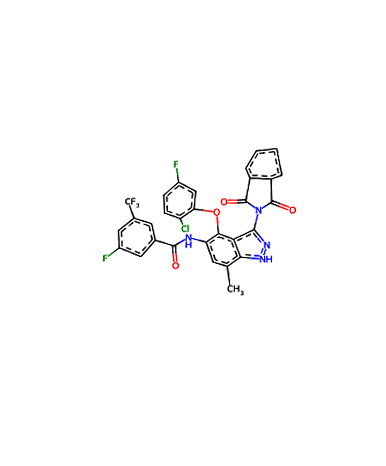 Cc1cc(NC(=O)c2cc(F)cc(C(F)(F)F)c2)c(Oc2cc(F)ccc2Cl)c2c(N3C(=O)c4ccccc4C3=O)n[nH]c12